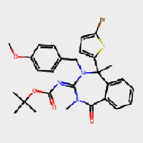 COc1ccc(CN2/C(=N/C(=O)OC(C)(C)C)N(C)C(=O)c3ccccc3C2(C)c2ccc(Br)s2)cc1